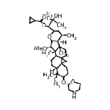 CO[C@H]1C2OC(C(OC(=O)C3CC3)C(C)(C)O)C[C@@H](C)[C@@H]2C2(C)CCC34CC35CCC(O[C@H]3CNCCO3)C(C)(C)[C@@H]5CCC4[C@]12C